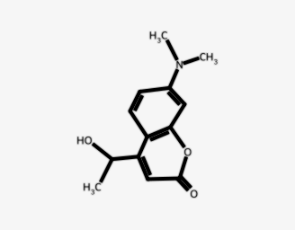 CC(O)c1cc(=O)oc2cc(N(C)C)ccc12